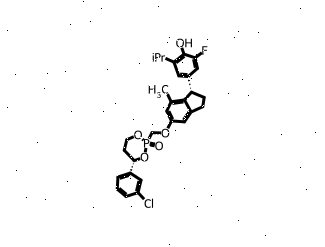 Cc1cc(OCP2(=O)OCC[C@@H](c3cccc(Cl)c3)O2)cc2c1[C@H](c1cc(F)c(O)c(C(C)C)c1)CC2